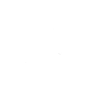 COC(=O)c1ccc(OS(=O)(=O)C(F)(F)F)c([N+](=O)[O-])c1